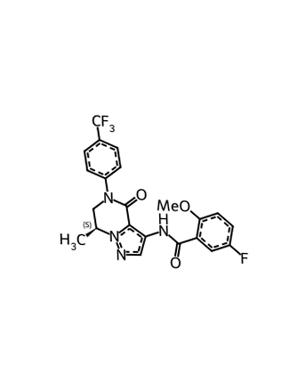 COc1ccc(F)cc1C(=O)Nc1cnn2c1C(=O)N(c1ccc(C(F)(F)F)cc1)C[C@@H]2C